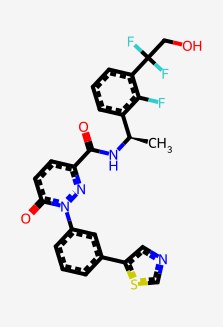 C[C@@H](NC(=O)c1ccc(=O)n(-c2cccc(-c3cncs3)c2)n1)c1cccc(C(F)(F)CO)c1F